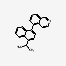 CC(C)c1ccc(-c2cccc3cnccc23)c2ccccc12